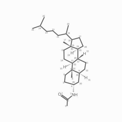 CC(=O)N[C@@H]1CC[C@@]2(C)[C@@H](CC[C@@H]3[C@@H]2CC[C@]2(C)C(C(C)CCCC(C)C)CC[C@@H]32)C1